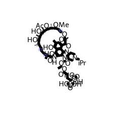 CO[C@H]1/C=C/O[C@@]2(C)Oc3c(C)c(O)c4c(c3C2=O)C2=NC3(CCN(CC(C)C)CC3)N(C(=O)OC(C)OC(=O)CCC(P(=O)(O)O)P(=O)(O)O)C2C(=C4O)NC(=O)/C(C)=C\C=C\[C@H](C)[C@H](O)[C@@H](C)[C@@H](O)[C@@H](C)[C@H](OC(C)=O)[C@@H]1C